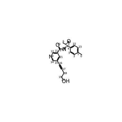 Cc1ccc(S(C)(=O)=NC(=O)c2cncc(C#CCCO)c2)cc1